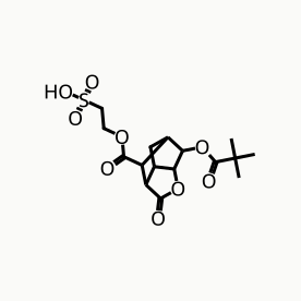 CC(C)(C)C(=O)OC1C2CC3C1OC(=O)C3C2C(=O)OCCS(=O)(=O)O